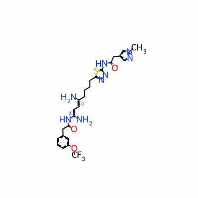 Cn1cc(CC(=O)Nc2nnc(CCCC/C(N)=C/C=C(\N)NC(=O)Cc3cccc(OC(F)(F)F)c3)s2)cn1